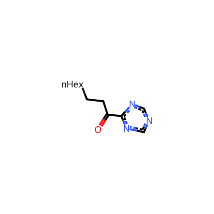 CCCCCCCCC(=O)c1ncncn1